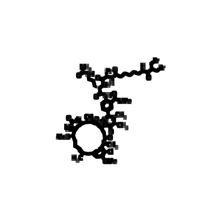 CNC(=O)c1cc(C(=O)N(C)[C@@H](C)C(=O)O[C@H]2CC(=O)N(C)c3cc(cc(OC)c3Cl)C/C(C)=C/C=C/[C@@H](OC)[C@@]3(O)C[C@H](OC(=O)N3)[C@@H](C)[C@@H]3O[C@@]23C)ccc1NC(=O)[C@H](CCCNC(N)=O)NC(=O)[C@@H](NC(=O)CCCCCNC(=O)C(CBr)CBr)C(C)C